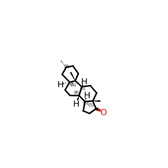 C[C@@H]1CC[C@@]2(C)[C@@H](CC[C@@H]3[C@@H]2CC[C@]2(C)C(=O)CC[C@@H]32)C1